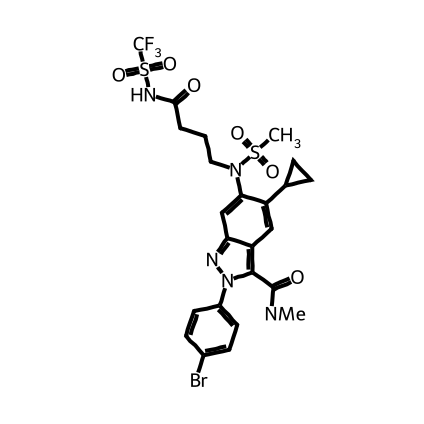 CNC(=O)c1c2cc(C3CC3)c(N(CCCC(=O)NS(=O)(=O)C(F)(F)F)S(C)(=O)=O)cc2nn1-c1ccc(Br)cc1